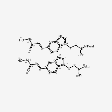 CCCCCN(CCn1cnc2cc(C=CC(=O)NO)ccc21)C(C)C.CCCCN(CCn1cnc2cc(C=CC(=O)NO)ccc21)C(C)C